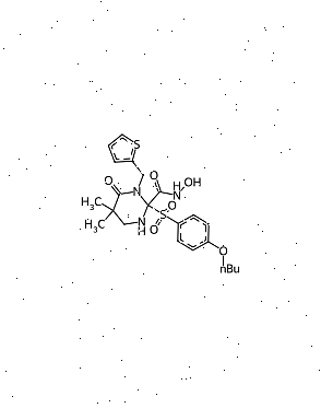 CCCCOc1ccc(S(=O)(=O)C2(C(=O)NO)NCC(C)(C)C(=O)N2Cc2cccs2)cc1